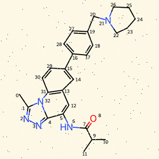 Cc1nnc2c(NC(=O)C(C)C)cc3cc(-c4ccc(CN5CCCCC5)cc4)ccc3n12